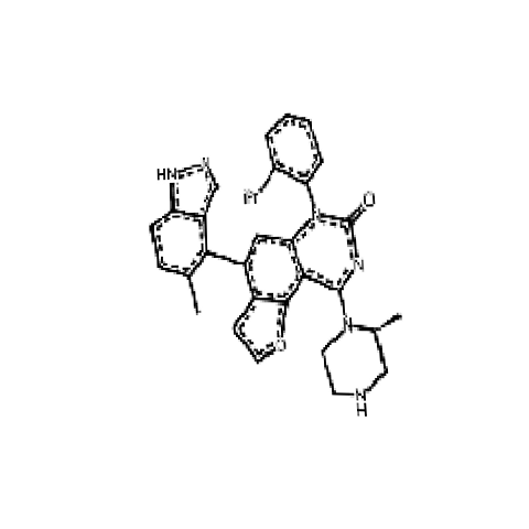 Cc1ccc2[nH]ncc2c1-c1cc2c(c(N3CCNC[C@@H]3C)nc(=O)n2-c2ccccc2C(C)C)c2occc12